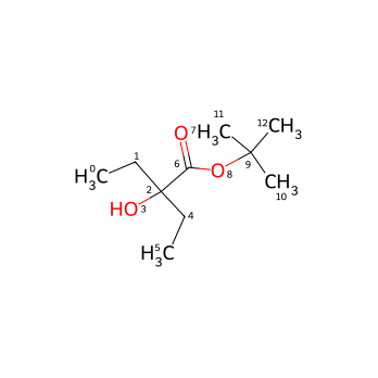 CCC(O)(CC)C(=O)OC(C)(C)C